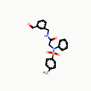 Cc1ccc(S(=O)(=O)N(CC(=O)NCc2cccc(C=O)c2)c2ccccc2)cc1